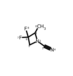 CC1N(C#N)CC1(F)F